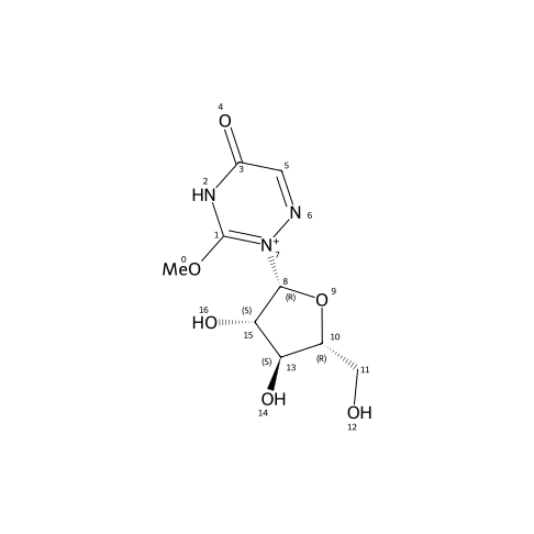 COc1[nH]c(=O)cn[n+]1[C@@H]1O[C@H](CO)[C@@H](O)[C@@H]1O